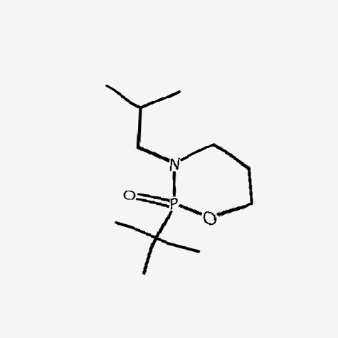 CC(C)CN1CCCOP1(=O)C(C)(C)C